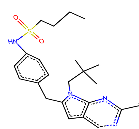 CCCCS(=O)(=O)Nc1ccc(Cc2cc3cnc(C#N)nc3n2CC(C)(C)C)cc1